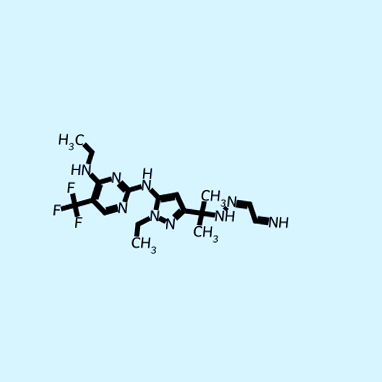 CCNc1nc(Nc2cc(C(C)(C)N/N=C\C=N)nn2CC)ncc1C(F)(F)F